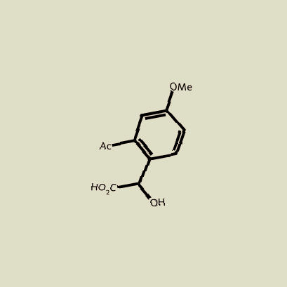 COc1ccc(C(O)C(=O)O)c(C(C)=O)c1